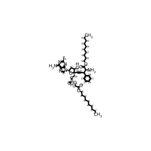 CCCCCCCCCCOC(=O)CO[PH](=O)OC[C@@]1(C#CC(c2ccccc2)[C@H](N)C(=O)OCCCCCCCCCC)O[C@@H](n2cnc3c(N)nc(F)nc32)C[C@@H]1O